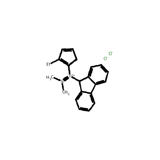 CCC1=[C]([Ti+2]([CH]2c3ccccc3-c3ccccc32)=[Si](C)C)CC=C1.[Cl-].[Cl-]